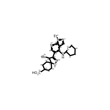 CCn1ncc2c(NC3CCCCC3)c(C3=NOC4(CCC(C(=O)O)CC4)C3C(C)(C)C)cnc21